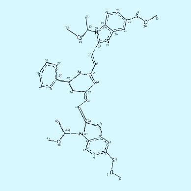 COSc1ccc2c(c1)S/C(=C\C=C1C=C(/C=C/c3sc4cc(SOC)ccc4[n+]3C(C)OC)CC(c3ccccc3)C\1)N2C(C)OC